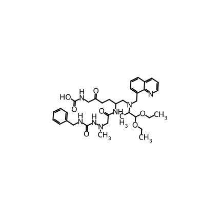 CCOC(OCC)C(C)N(Cc1cccc2cccnc12)CC(CCC(=O)CNC(=O)O)NC(=O)CN(C)NC(=O)NCc1ccccc1